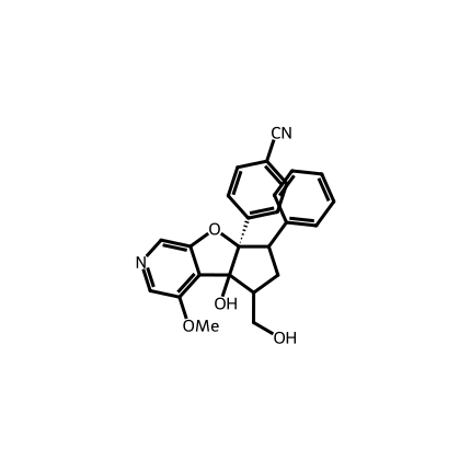 COc1cncc2c1C1(O)C(CO)CC(c3ccccc3)[C@]1(c1ccc(C#N)cc1)O2